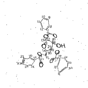 C[C@]1(O)[C@H](OC(=O)c2ccccc2)O[C@H](COC(=O)c2ccccc2)[C@H]1OC(=O)c1ccccc1